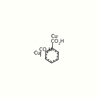 CC(=O)O.O=C(O)c1ccccc1.[Cu].[Cu]